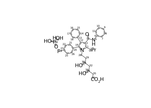 CC(C)c1c(C(=O)Nc2ccccc2)c(-c2ccccc2)c(-c2ccc(F)cc2)n1CC[C@@H](O)C[C@@H](O)CC(=O)O.O=[PH](O)O